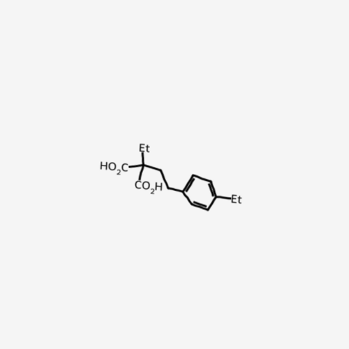 CCc1ccc(CCC(CC)(C(=O)O)C(=O)O)cc1